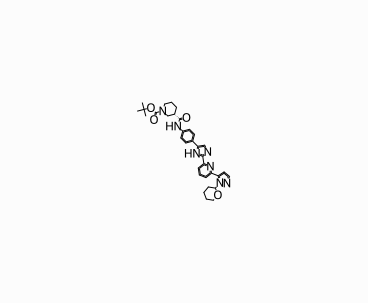 CC(C)(C)OC(=O)N1CCC[C@H](C(=O)Nc2ccc(-c3cnc(-c4cccc(-c5ccnn5C5CCCCO5)n4)[nH]3)cc2)C1